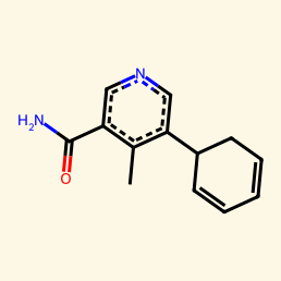 Cc1c(C(N)=O)cncc1C1C=CC=CC1